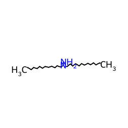 CCCCCCCCCCCCCN(N)CCCCCCCCCCCCC